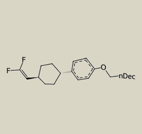 CCCCCCCCCCCOc1ccc([C@H]2CC[C@H](C=C(F)F)CC2)cc1